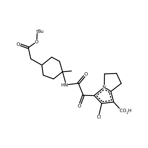 CC1(NC(=O)C(=O)c2c(Cl)c(C(=O)O)c3n2CCC3)CCC(CC(=O)OC(C)(C)C)CC1